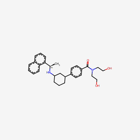 C[C@@H](NC1CCCC(c2ccc(C(=O)N(CCO)CCO)cc2)C1)c1cccc2ccccc12